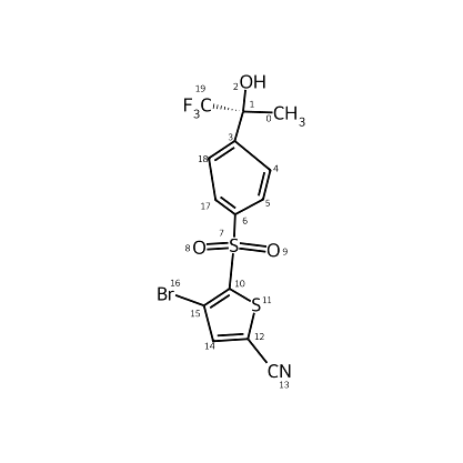 C[C@](O)(c1ccc(S(=O)(=O)c2sc(C#N)cc2Br)cc1)C(F)(F)F